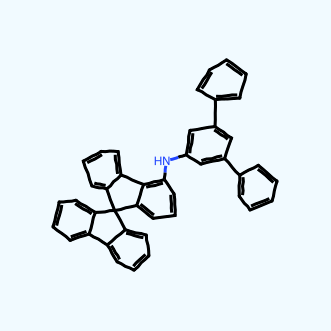 c1ccc(-c2cc(Nc3cccc4c3-c3ccccc3C43c4ccccc4-c4ccccc43)cc(-c3ccccc3)c2)cc1